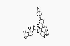 COc1cc(N2CCNCC2)ccc1Nc1nc(Nc2ccc(Cl)c(Cl)c2Cl)cc2cn[nH]c(=O)c12